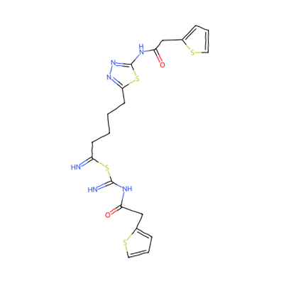 N=C(CCCCc1nnc(NC(=O)Cc2cccs2)s1)SC(=N)NC(=O)Cc1cccs1